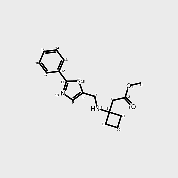 COC(=O)CC1(NCc2cnc(-c3ccccc3)s2)CCC1